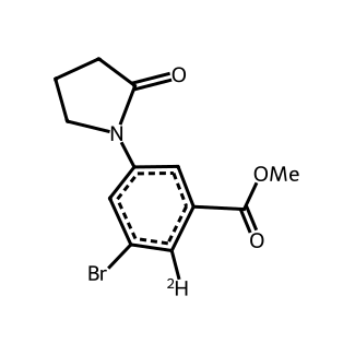 [2H]c1c(Br)cc(N2CCCC2=O)cc1C(=O)OC